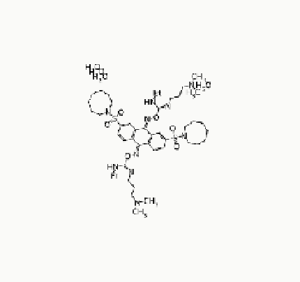 CCNC(=NCCCN(C)C)ON=C1c2ccc(S(=O)(=O)N3CCCCCCC3)cc2C(=NOC(=NCCCN(C)C)NCC)c2cc(S(=O)(=O)N3CCCCCCC3)ccc21.O.O.O.O